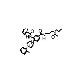 CCCN(CCCNC(=O)c1ccc(N2CCN(c3ccccc3C)CC2)c(NC(=O)c2ccco2)c1)C(C)=O